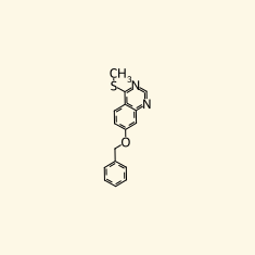 CSc1ncnc2cc(OCc3ccccc3)ccc12